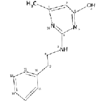 Cc1cc(O)nc(NCCc2ccccc2)n1